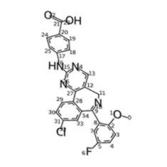 COc1ccc(F)cc1C1=NCc2cnc(Nc3ccc(C(=O)O)cc3)nc2-c2ccc(Cl)cc21